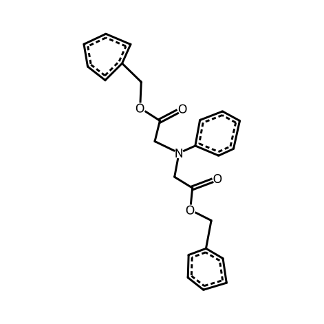 O=C(CN(CC(=O)OCc1ccccc1)c1ccccc1)OCc1ccccc1